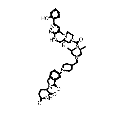 CC1CN(CC2CCN(c3ccc4c(c3)C(=O)N(C3CCC(=O)NC3=O)C4)CC2)CC(C)N1C(=O)N1CCN2c3cc(-c4ccccc4O)nnc3NC[C@H]2C1